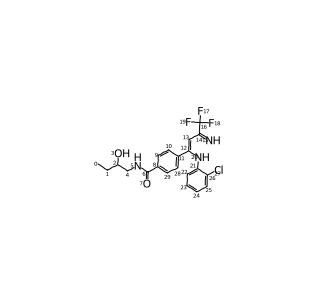 CCC(O)CNC(=O)c1ccc(/C(=C/C(=N)C(F)(F)F)Nc2ccccc2Cl)cc1